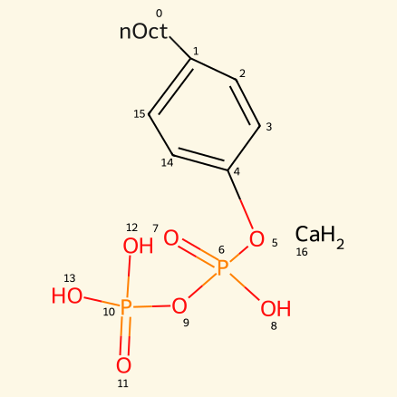 CCCCCCCCc1ccc(OP(=O)(O)OP(=O)(O)O)cc1.[CaH2]